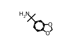 CC(C)(N)c1ccc2c(c1)OCO2